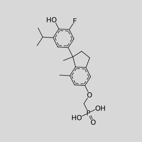 Cc1cc(OCP(=O)(O)O)cc2c1C(C)(c1cc(F)c(O)c(C(C)C)c1)CC2